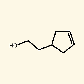 OCCC1CC=CC1